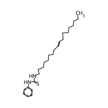 CCCCCCCCC=CCCCCCCCCNC(=S)Nc1ccccc1